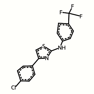 FC(F)(F)c1ccc(Nc2nc(-c3ccc(Cl)cc3)cs2)cc1